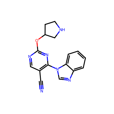 N#Cc1cnc(OC2CCNC2)nc1-n1cnc2ccccc21